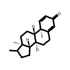 CC1CC[C@H]2[C@@H]3CCC4=CC(=O)C=C[C@]4(C)[C@H]3CC[C@]12C